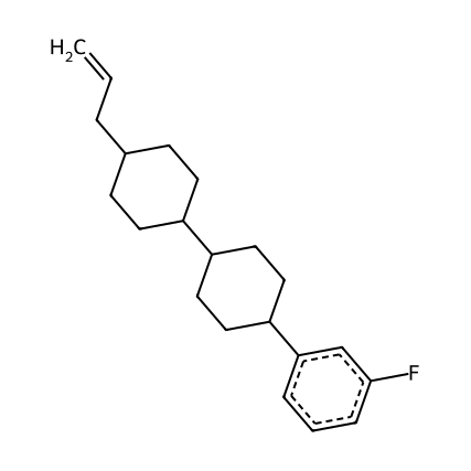 C=CCC1CCC(C2CCC(c3cccc(F)c3)CC2)CC1